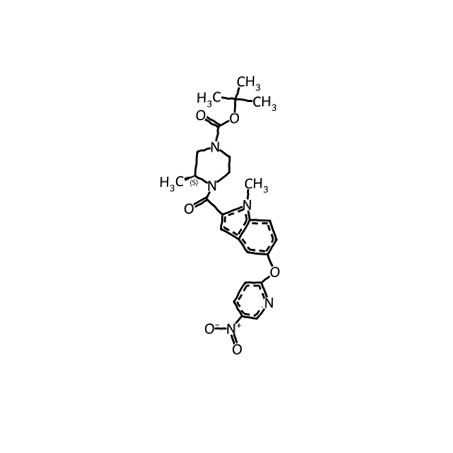 C[C@H]1CN(C(=O)OC(C)(C)C)CCN1C(=O)c1cc2cc(Oc3ccc([N+](=O)[O-])cn3)ccc2n1C